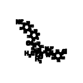 CC1(C)CN(C(=O)c2cccc(-c3ccc(C#N)cc3)c2)CCN1C(=O)c1ncn(-c2cccc(Cl)c2)n1